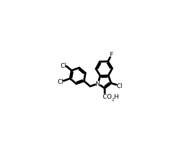 O=C(O)c1c(Cl)c2cc(F)ccc2n1Cc1ccc(Cl)c(Cl)c1